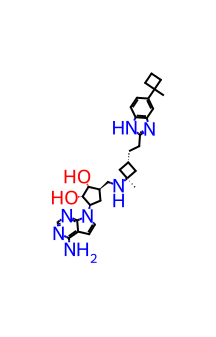 CC1(c2ccc3[nH]c(CC[C@H]4C[C@](C)(NC[C@H]5C[C@@H](n6ccc7c(N)ncnc76)[C@H](O)[C@@H]5O)C4)nc3c2)CCC1